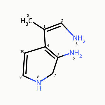 C/C(=C/N)C1=C(N)CNC=C1